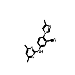 Cc1cn(-c2ccc(Nc3nc(C)cc(C)n3)cc2C#N)cn1